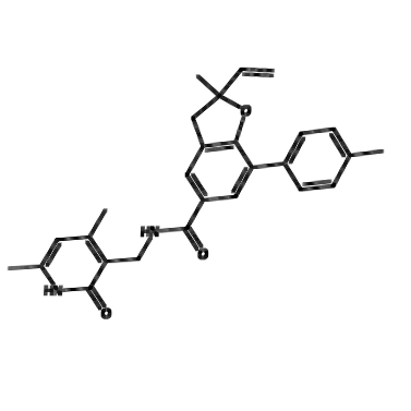 C=CC1(C)Cc2cc(C(=O)NCc3c(C)cc(C)[nH]c3=O)cc(-c3ccc(C)cc3)c2O1